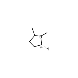 CC1CC[C@@H](I)N1C